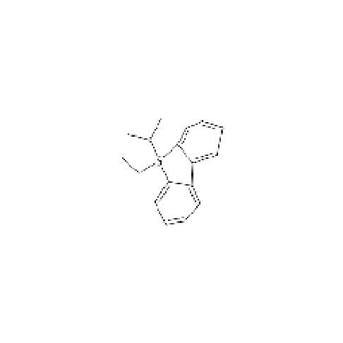 CCS1(C(C)C)c2ccccc2-c2ccccc21